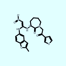 Cc1cc2cc(NC(=C[N+](=O)[O-])N[C@H]3CCCCN(CC(=O)c4ccoc4)C3=O)ccc2o1